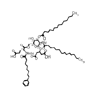 CCCCCCCCCCCCCC(=O)N[C@H]1[C@@H](OC(CC(=O)O)CC(=O)O)O[C@H](COC(=O)[C@@H](CCC(=O)O)NC(=O)CCCCCCCc2ccccc2)[C@@H](O)[C@@H]1OC(=O)CCCCCCCCCCCCC